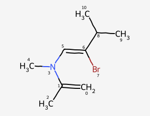 C=C(C)N(C)/C=C(\Br)C(C)C